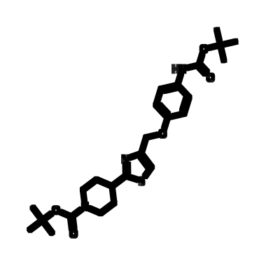 CC(C)(C)OC(=O)Nc1ccc(OCc2csc(C3CCN(C(=O)OC(C)(C)C)CC3)n2)cc1